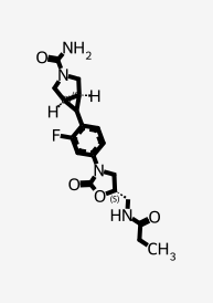 CCC(=O)NC[C@H]1CN(c2ccc(C3[C@H]4CN(C(N)=O)C[C@@H]34)c(F)c2)C(=O)O1